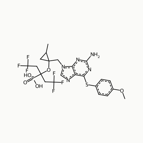 COc1ccc(Sc2nc(N)nc3c2ncn3CC2(OC(CC(F)(F)F)(CC(F)(F)F)P(=O)(O)O)CC2C)cc1